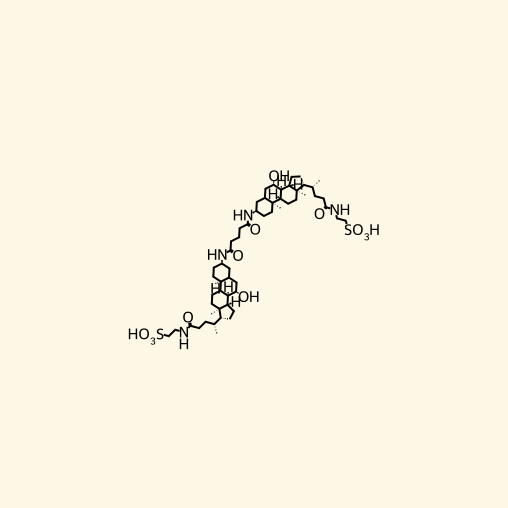 C[C@H](CCC(=O)NCCS(=O)(=O)O)[C@H]1CC[C@H]2[C@@H]3[C@@H](O)CC4C[C@H](NC(=O)CCCC(=O)N[C@@H]5CC[C@@]6(C)C(C5)C[C@H](O)[C@H]5[C@@H]7CC[C@H]([C@H](C)CCC(=O)NCCS(=O)(=O)O)[C@@]7(C)CC[C@@H]56)CC[C@]4(C)[C@H]3CC[C@]12C